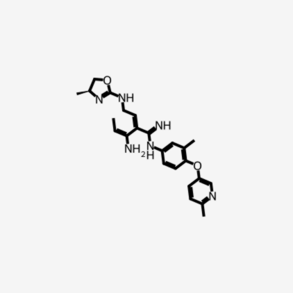 C/C=C(N)\C(=C/CNC1=N[C@@H](C)CO1)C(=N)Nc1ccc(Oc2ccc(C)nc2)c(C)c1